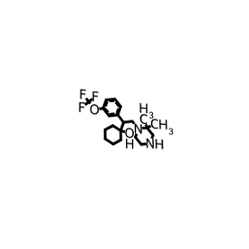 CC1(C)CNCCN1CC(c1cccc(OC(F)(F)F)c1)C1(O)CCCCC1